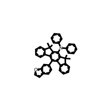 CC1(C)c2ccccc2-c2c(-c3ccc4ccoc4c3)c3c(c(N(c4ccccc4)c4ccccc4)c21)C(C)(C)c1ccccc1-3